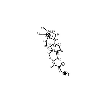 CC(C)CC(=O)N(C)C1CCC2(C)C(=CCC3C2CCC24CN(C)C(C)C2CCC34)C1